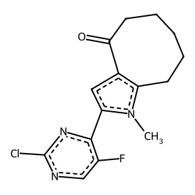 Cn1c(-c2nc(Cl)ncc2F)cc2c1CCCCCC2=O